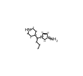 CCCC(C1CCNCC1)N1C=CN(N)C1